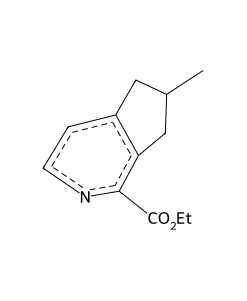 CCOC(=O)c1nccc2c1CC(C)C2